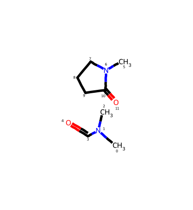 CN(C)C=O.CN1CCCC1=O